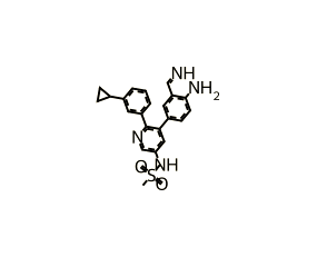 CS(=O)(=O)Nc1cnc(-c2cccc(C3CC3)c2)c(-c2ccc(N)c(C=N)c2)c1